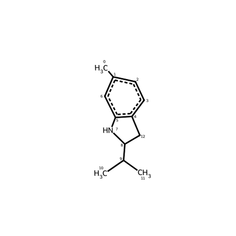 Cc1ccc2c(c1)NC(C(C)C)C2